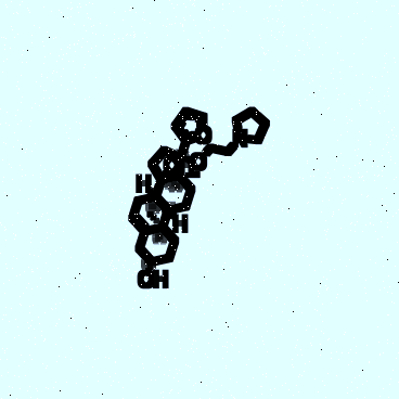 C[C@]12CC[C@H]3[C@@H](CC=C4C[C@@H](O)CC[C@@]43C)[C@@]1(O)CC[C@]2(OCCN1CCCC1)c1ccco1